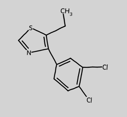 CCc1scnc1-c1ccc(Cl)c(Cl)c1